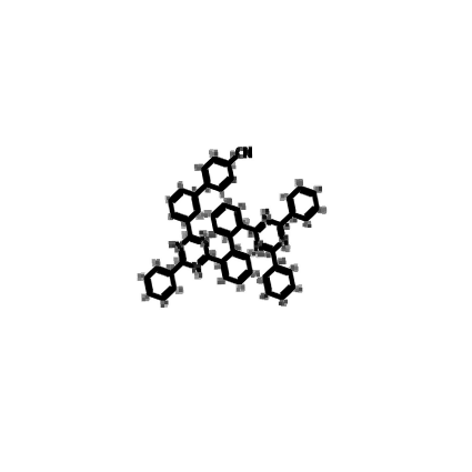 N#Cc1ccc(-c2cccc(-c3nc(-c4ccccc4)nc(-c4ccccc4-c4ccccc4-c4nc(-c5ccccc5)nc(-c5ccccc5)n4)n3)c2)cc1